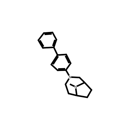 CN1C2CCC1CN(c1ccc(-c3ccccc3)cc1)CC2